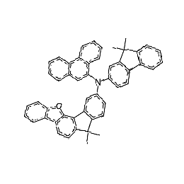 CC1(C)c2ccccc2-c2ccc(N(c3ccc4c(c3)-c3c(ccc5c3oc3ccccc35)C4(C)C)c3cc4ccccc4c4ccccc34)cc21